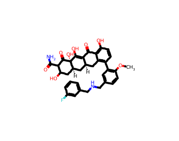 COc1ccc(CNCc2cccc(F)c2)cc1-c1ccc(O)c2c1C[C@H]1C[C@H]3CC(O)C(C(N)=O)C(=O)[C@@]3(O)C(O)=C1C2=O